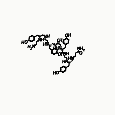 C[C@@H](CN[C@H](CNCCN[C@H](CNCCC(N)=O)Cc1ccc(O)cc1)Cc1ccc(O)cc1)NC[C@H](Cc1ccc(O)cc1)NCCNC[C@H](Cc1ccc(O)cc1)NCCN